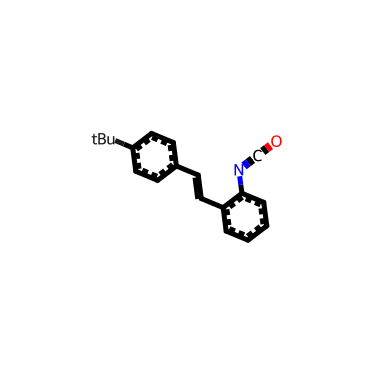 CC(C)(C)c1ccc(C=Cc2ccccc2N=C=O)cc1